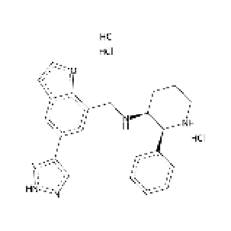 Cl.Cl.Cl.c1ccc([C@@H]2NCCC[C@@H]2NCc2cc(-c3cn[nH]n3)cc3ccoc23)cc1